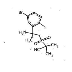 CC(C)(C#N)S(=O)(=O)C[C@](C)(N)c1cc(Br)ccc1F